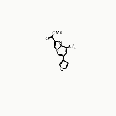 COC(=O)c1cn2cc(-c3ccoc3)cc(C(F)(F)F)c2n1